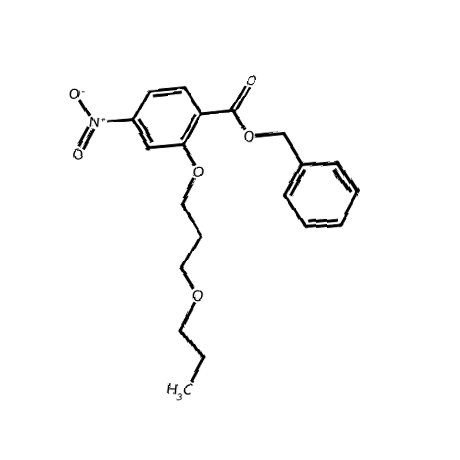 CCCOCCCOc1cc([N+](=O)[O-])ccc1C(=O)OCc1ccccc1